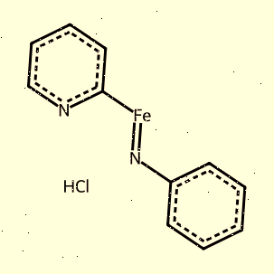 Cl.c1ccc(/[N]=[Fe]/[c]2ccccn2)cc1